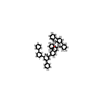 c1ccc(-c2cccc(-c3cc(-c4ccccc4)cc(-c4ccc5cc(-n6c7ccccc7c7ccc8c9ccccc9n(-c9ccccc9)c8c76)ccc5c4)n3)c2)cc1